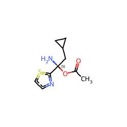 CC(=O)O[C@@](N)(CC1CC1)c1nccs1